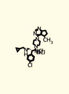 C[C@@H]1CCc2ncnc(N3CCN(C(=O)[C@@H](CNCC4CC4)c4ccc(Cl)cc4)CC3)c21.Cl.Cl